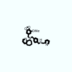 COc1cc(CN(Cc2ccc(CNCc3ccccn3)cc2)C2CCCCc3cccnc32)cc2c1OCO2